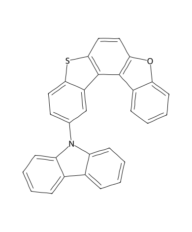 c1ccc2c(c1)oc1ccc3sc4ccc(-n5c6ccccc6c6ccccc65)cc4c3c12